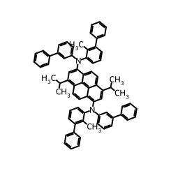 Cc1c(-c2ccccc2)cccc1N(c1cccc(-c2ccccc2)c1)c1cc(C(C)C)c2ccc3c(N(c4cccc(-c5ccccc5)c4)c4cccc(-c5ccccc5)c4C)cc(C(C)C)c4ccc1c2c43